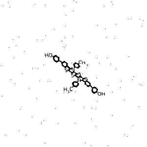 Cc1ccc(-n2c3c4ccc(-c5ccc(O)cc5)cc4sc3c3sc4c(sc5c6sc7cc(-c8ccc(O)cc8)ccc7c6n(-c6ccc(C)cc6)c54)c32)cc1